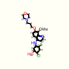 COc1c(OCCCN2CCOCC2)ccc2c(Nc3cc(O)c(Cl)cc3F)ccnc12